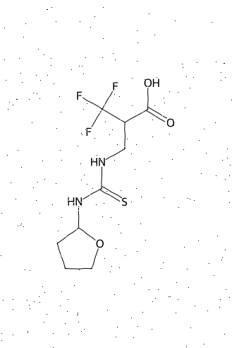 O=C(O)C(CNC(=S)NC1CCCO1)C(F)(F)F